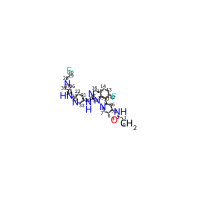 C=CC(=O)Nc1ccnc(-c2c(F)ccc3cnc(Nc4ccc(NC5CN(CCF)C5)nc4)nc23)c1